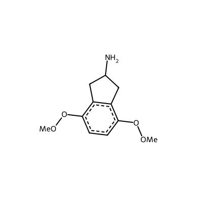 COOc1ccc(OOC)c2c1CC(N)C2